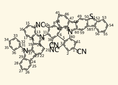 N#Cc1cc(C#N)c(-c2ccc(C#N)c(-n3c4ccccc4c4c3ccc3c5ccccc5n(-c5ccccc5)c34)c2C#N)c(-n2c3ccccc3c3cc4sc5ccccc5c4cc32)c1